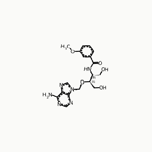 COc1cccc(C(=O)N[C@H](CO)[C@@H](CO)OCn2cnc3c(N)ncnc32)c1